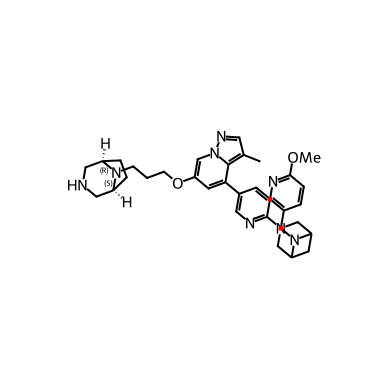 COc1ccc(CN2C3CC2CN(c2ccc(-c4cc(OCCCN5[C@@H]6CC[C@H]5CNC6)cn5ncc(C)c45)cn2)C3)cn1